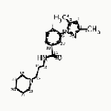 Cc1cc(C)n(-c2cccc(C(=O)NCCCN3CCCCC3)c2)n1